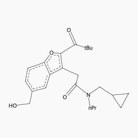 CCCN(CC1CC1)C(=O)Cc1c(C(=O)C(C)(C)C)oc2ccc(CO)cc12